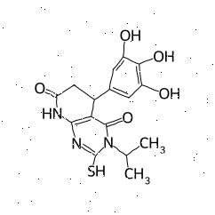 CC(C)n1c(S)nc2c(c1=O)C(c1cc(O)c(O)c(O)c1)CC(=O)N2